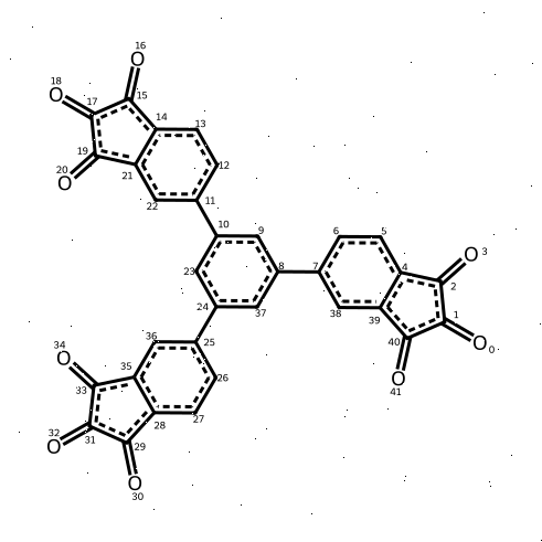 O=c1c(=O)c2ccc(-c3cc(-c4ccc5c(=O)c(=O)c(=O)c5c4)cc(-c4ccc5c(=O)c(=O)c(=O)c5c4)c3)cc2c1=O